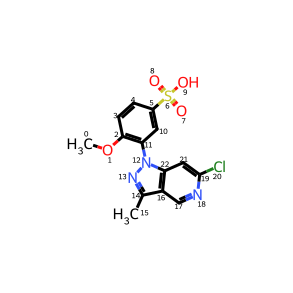 COc1ccc(S(=O)(=O)O)cc1-n1nc(C)c2cnc(Cl)cc21